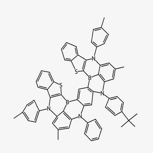 Cc1ccc(N2c3cc(C)cc4c3B(c3cc5c(cc3N4c3ccccc3)N(c3ccc(C(C)(C)C)cc3)c3cc(C)cc4c3B5c3sc5ccccc5c3N4c3ccc(C)cc3)c3sc4ccccc4c32)cc1